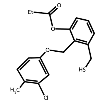 CCC(=O)Oc1cccc(CS)c1COc1ccc(C)c(Cl)c1